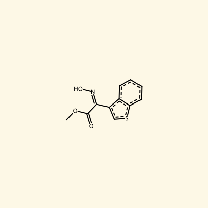 COC(=O)C(=NO)c1csc2ccccc12